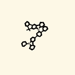 CC1(C)c2ccccc2-c2cc3c4ccccc4n(-c4cc(-c5ccc6c(c5)c5ccccc5n6-c5ccccc5)ccc4-c4ccccc4)c3cc21